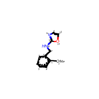 COc1ccccc1CNC1=NCCO1